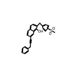 CS(=O)(=O)c1ccc(Cc2ccc3ccc(C#CCc4ccccc4)cc3c2O)cc1